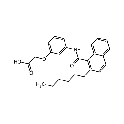 CCCCCCc1ccc2ccccc2c1C(=O)Nc1cccc(OCC(=O)O)c1